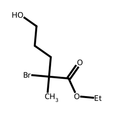 CCOC(=O)C(C)(Br)CCCO